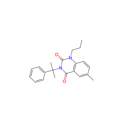 CCCn1c(=O)n(C(C)(C)c2ccccc2)c(=O)c2cc(C)ccc21